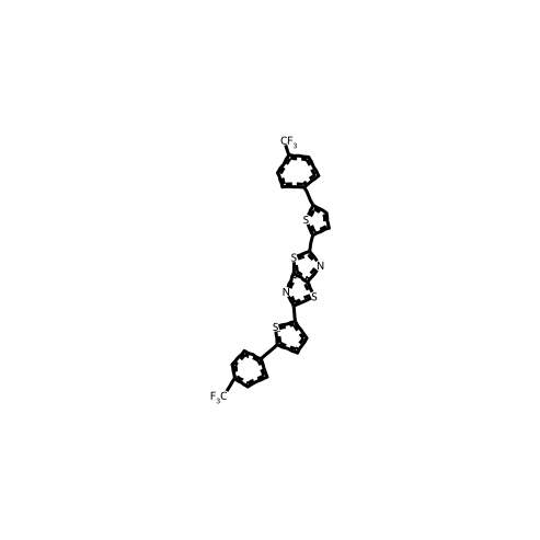 FC(F)(F)c1ccc(-c2ccc(-c3nc4sc(-c5ccc(-c6ccc(C(F)(F)F)cc6)s5)nc4s3)s2)cc1